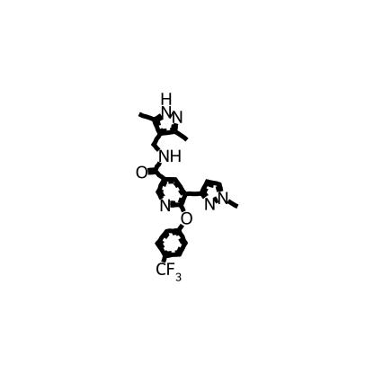 Cc1n[nH]c(C)c1CNC(=O)c1cnc(Oc2ccc(C(F)(F)F)cc2)c(-c2ccn(C)n2)c1